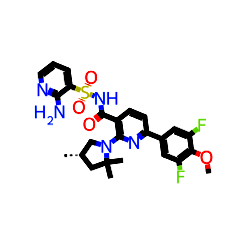 COc1c(F)cc(-c2ccc(C(=O)NS(=O)(=O)c3cccnc3N)c(N3C[C@@H](C)CC3(C)C)n2)cc1F